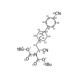 CC(C)(C)OC(=O)N(C(=O)OC(C)(C)C)C(C#N)CC12CCC(c3ccc(C#N)cc3)(CC1)CC2